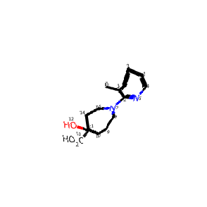 Cc1cccnc1N1CCCC(O)(C(=O)O)CC1